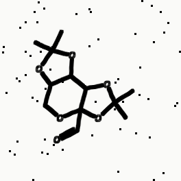 CC1(C)OC2COC3(C=O)OC(C)(C)OC3C2O1